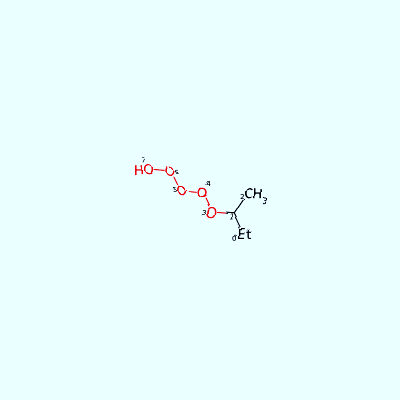 CCC(C)OOOOO